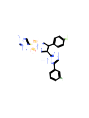 Cn1cnc(S(=O)(=O)N2CC(c3ccc(F)cc3)C(c3ncc(-c4cccc(Cl)c4)[nH]3)C2)c1